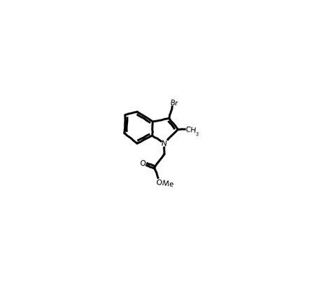 COC(=O)Cn1c(C)c(Br)c2ccccc21